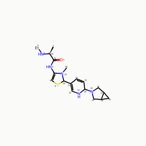 CCN[C@@H](C)C(=O)NC1=CSC(C2=CNC(N3CC4CC4C3)C=C2)N1C